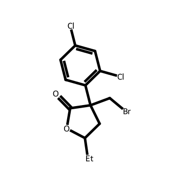 CCC1CC(CBr)(c2ccc(Cl)cc2Cl)C(=O)O1